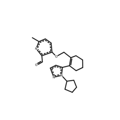 Cc1ccc(OCC2=C(c3ccnn3C3CCCC3)CCCC2)c(C=O)n1